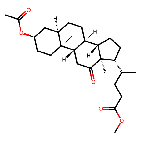 COC(=O)CCC(C)[C@H]1CC[C@H]2[C@@H]3CC[C@@H]4C[C@H](OC(C)=O)CC[C@]4(C)[C@H]3CC(=O)[C@]12C